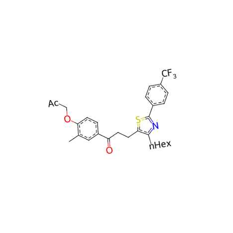 CCCCCCc1nc(-c2ccc(C(F)(F)F)cc2)sc1CCC(=O)c1ccc(OCC(C)=O)c(C)c1